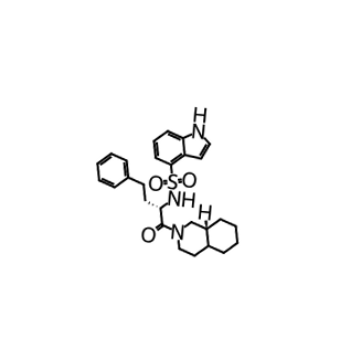 O=C([C@H](CCc1ccccc1)NS(=O)(=O)c1cccc2[nH]ccc12)N1CCC2CCCC[C@H]2C1